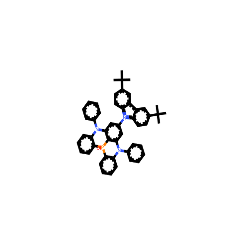 CC(C)(C)c1ccc2c(c1)c1cc(C(C)(C)C)ccc1n2-c1cc2c3c(c1)N(c1ccccc1)c1ccccc1P3(=O)c1ccccc1N2c1ccccc1